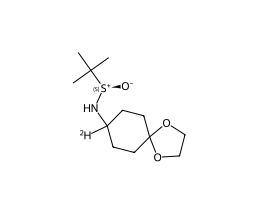 [2H]C1(N[S@+]([O-])C(C)(C)C)CCC2(CC1)OCCO2